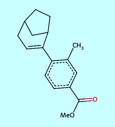 COC(=O)c1ccc(C2=CCC3CCC2C3)c(C)c1